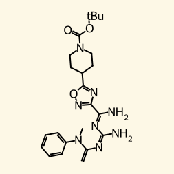 C=C(/N=C(N)\N=C(/N)c1noc(C2CCN(C(=O)OC(C)(C)C)CC2)n1)N(C)c1ccccc1